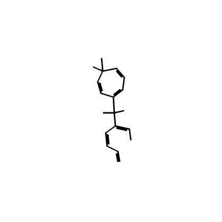 C=C/C=C\C(=C/C)C(C)(C)C1=CC=CC(C)(C)C=C1